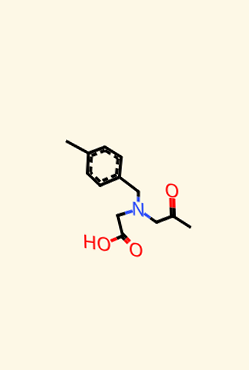 CC(=O)CN(CC(=O)O)Cc1ccc(C)cc1